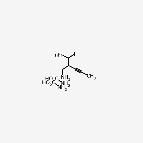 CC#CC(CN)C(I)CCC.NC(=O)O.NC(=O)O